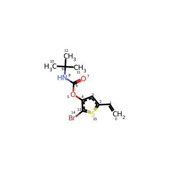 C=Cc1cc(OC(=O)NC(C)(C)C)c(Br)s1